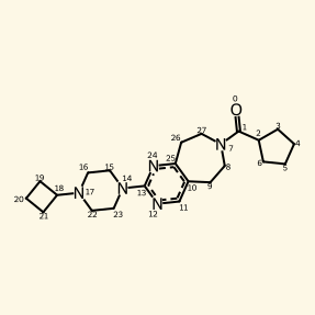 O=C(C1CCCC1)N1CCc2cnc(N3CCN(C4CCC4)CC3)nc2CC1